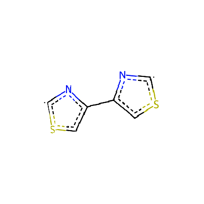 [c]1nc(-c2cs[c]n2)cs1